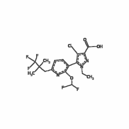 CCn1nc(C(=O)O)c(Cl)c1-c1ccc(CC(C)(C)C(F)(F)F)nc1OC(F)F